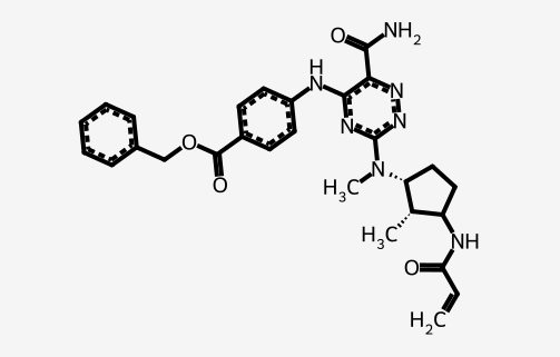 C=CC(=O)NC1CC[C@@H](N(C)c2nnc(C(N)=O)c(Nc3ccc(C(=O)OCc4ccccc4)cc3)n2)[C@H]1C